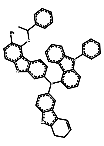 CCC(C)c1ccc2oc3cc(N(c4ccc5oc6c(c5c4)C=CCC6)c4cccc5c4c4ccccc4n5-c4ccccc4)ccc3c2c1OC(C)c1ccccc1